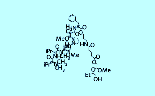 CCC(CO)OC(COC(=O)CCCC(=O)NCCCOC(=O)[C@H](Cc1ccccc1)NC(=O)[C@H](C)[C@@H](OC)[C@@H]1CCCN1C(=O)C[C@@H](OC)[C@H]([C@@H](C)CC)N(C)C(=O)[C@@H](NC(=O)[C@H](C(C)C)N(C)C)C(C)C)OC